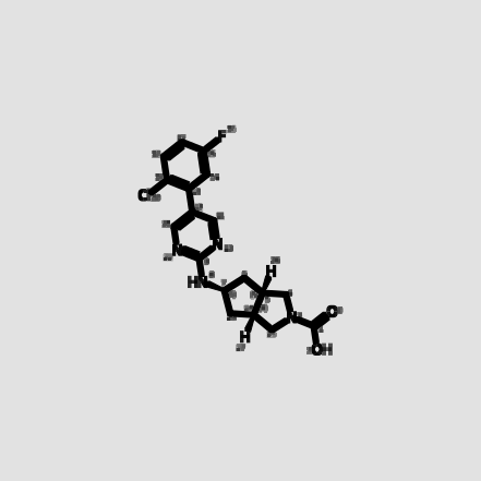 O=C(O)N1C[C@H]2C[C@H](Nc3ncc(-c4cc(F)ccc4Cl)cn3)C[C@H]2C1